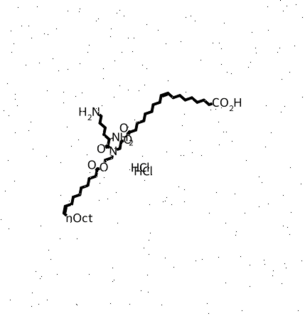 CCCCCCCC/C=C\CCCCCCCC(=O)OCCN(CCOC(=O)CCCCCCC/C=C\CCCCCCCC(=O)O)C(=O)[C@@H](N)CCCCN.Cl.Cl